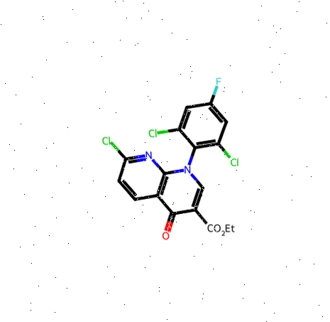 CCOC(=O)c1cn(-c2c(Cl)cc(F)cc2Cl)c2nc(Cl)ccc2c1=O